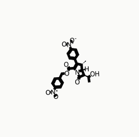 CC(O)[C@H]1C(=O)N2C(C(=O)OCc3ccc([N+](=O)[O-])cc3)=C(c3ccc([N+](=O)[O-])cc3)[C@H](C)[C@H]12